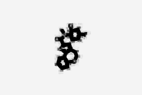 CN(C(=O)c1cc2c(s1)-c1ccccc1OCC2)c1ccc(F)cc1Cl